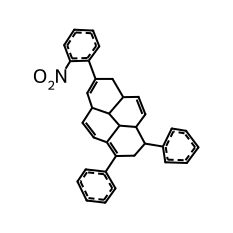 O=[N+]([O-])c1ccccc1C1=CC2C=CC3=C(c4ccccc4)CC(c4ccccc4)C4C=CC(C1)C2C34